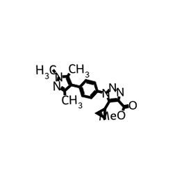 COC(=O)c1nnn(-c2ccc(-c3c(C)nn(C)c3C)cc2)c1C1CC1